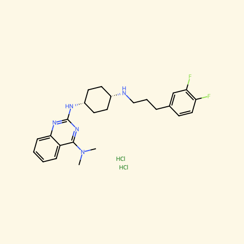 CN(C)c1nc(N[C@H]2CC[C@@H](NCCCc3ccc(F)c(F)c3)CC2)nc2ccccc12.Cl.Cl